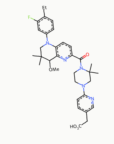 CCc1ccc(N2CC(C)(C)C(OC)c3nc(C(=O)N4CCN(c5ccc(CC(=O)O)cn5)CC4(C)C)ccc32)cc1F